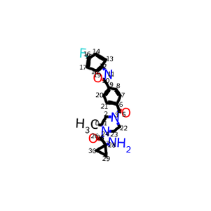 CC1CN(C(=O)c2ccc(-c3nc4ccc(F)cc4o3)cc2)CCN1C(=O)C1(N)CC1